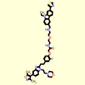 CCn1c2ccc(CNCCOCCNC(=O)COc3ccc(CCc4nc5cc(-c6c(C)noc6C)ccc5n4CCN4CCOCC4)cc3F)cc2c2ccc(-c3cscn3)cc21